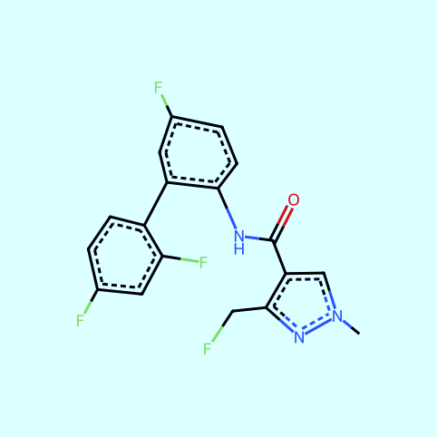 Cn1cc(C(=O)Nc2ccc(F)cc2-c2ccc(F)cc2F)c(CF)n1